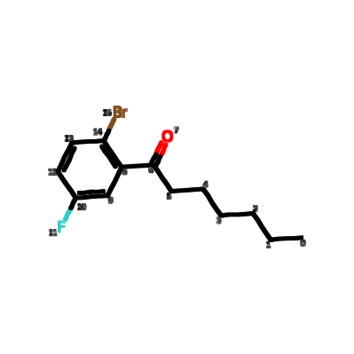 CCCCCCC(=O)c1cc(F)ccc1Br